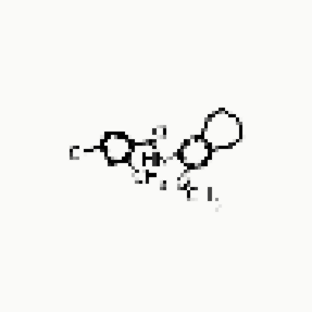 COc1cc2c(cc1NC(=O)c1ccc(Cl)cc1C)CCCCC2